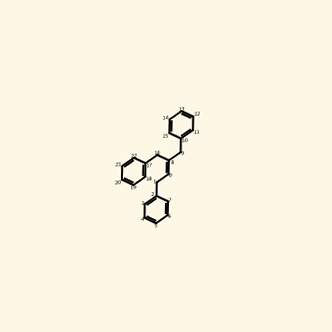 C(Cc1ccccc1)=C(Cc1ccccc1)Cc1ccccc1